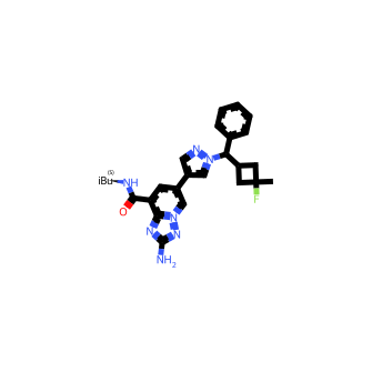 CC[C@H](C)NC(=O)c1cc(-c2cnn(C(c3ccccc3)C3CC(C)(F)C3)c2)cn2nc(N)nc12